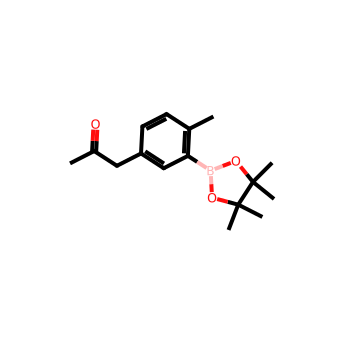 CC(=O)Cc1ccc(C)c(B2OC(C)(C)C(C)(C)O2)c1